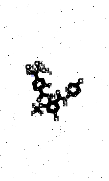 C/N=C(/c1ccc(C(=O)Nc2c(OC(F)(F)F)cc(Cl)cc2C(=O)Nc2ccc(Cl)cn2)c(F)c1)N(C)C